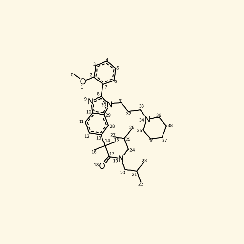 COc1ccccc1-c1nc2ccc(C(C)(C)C(=O)N(CC(C)C)CC(C)C)cc2n1CCCN1CCCCC1